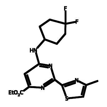 CCOC(=O)c1cc(NC2CCC(F)(F)CC2)nc(-c2nc(C)cs2)n1